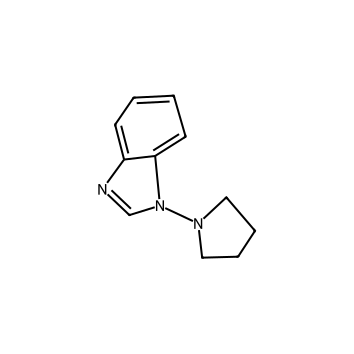 c1ccc2c(c1)ncn2N1CCCC1